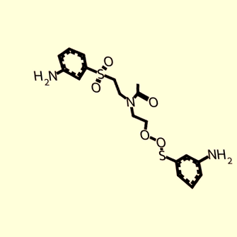 CC(=O)N(CCOOSc1cccc(N)c1)CCS(=O)(=O)c1cccc(N)c1